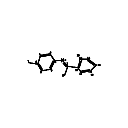 C/C(=N\c1ccc(C)cc1)c1cnccn1